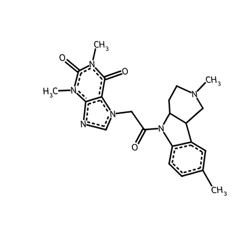 Cc1ccc2c(c1)C1CN(C)CCC1N2C(=O)Cn1cnc2c1c(=O)n(C)c(=O)n2C